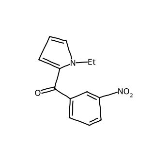 CCn1cccc1C(=O)c1cccc([N+](=O)[O-])c1